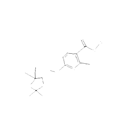 Cc1nc(OC[C@@H]2OC(C)(C)OC2(C)C)ccc1C(=O)NN